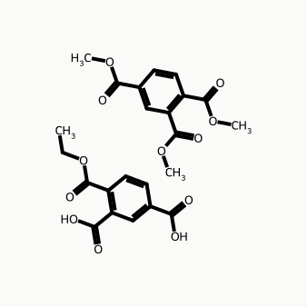 CCOC(=O)c1ccc(C(=O)O)cc1C(=O)O.COC(=O)c1ccc(C(=O)OC)c(C(=O)OC)c1